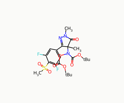 CN1N=C(c2cc(F)c(S(C)(=O)=O)c(F)c2)C(C)(N(OC(=O)OC(C)(C)C)C(=O)OC(C)(C)C)C1=O